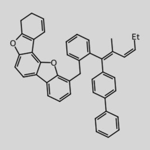 CC/C=C\C(C)=C(/c1ccc(-c2ccccc2)cc1)c1ccccc1Cc1cccc2c1oc1c2ccc2oc3c(c21)C=CCC3